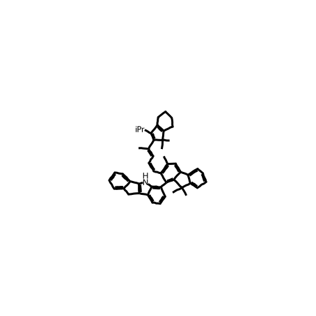 C/C(=C\C=C/c1c(C)cc2c(c1-c1cccc3c4c([nH]c13)-c1ccccc1C4)C(C)(C)c1ccccc1-2)C1=C(C(C)C)C2=C(CCCC2)C1(C)C